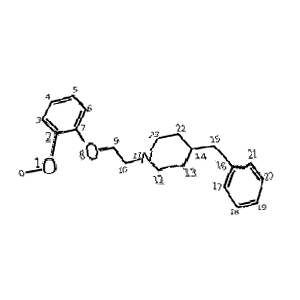 COc1ccccc1OCCN1CCC(Cc2ccccc2)CC1